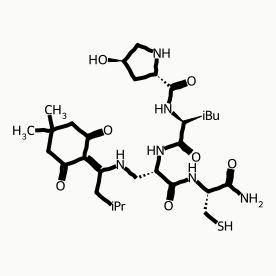 CC[C@H](C)[C@H](NC(=O)[C@@H]1C[C@@H](O)CN1)C(=O)N[C@@H](CNC(CC(C)C)=C1C(=O)CC(C)(C)CC1=O)C(=O)N[C@@H](CS)C(N)=O